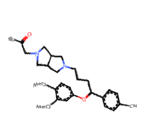 COc1ccc(OC(CCCN2CC3CN(CC(=O)C(C)(C)C)CC3C2)c2ccc(C#N)cc2)cc1OC